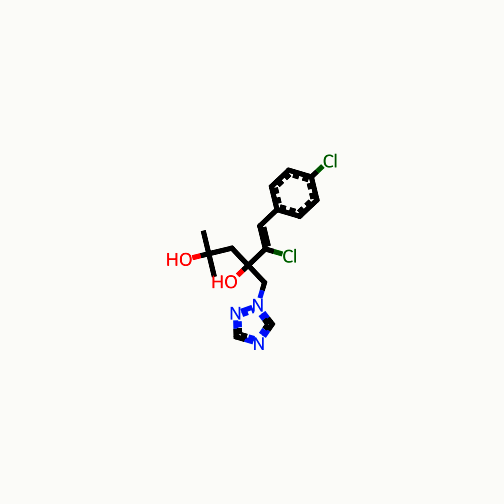 CC(C)(O)CC(O)(Cn1cncn1)/C(Cl)=C/c1ccc(Cl)cc1